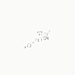 OC(c1cncs1)(c1ccc(F)cc1F)C(F)(F)c1ccc(C#Cc2ccc(F)cc2)cn1